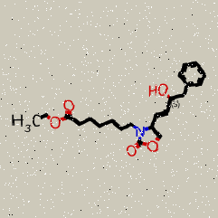 CCOC(=O)CCCCCCN1C(=O)OCC1C=C[C@@H](O)Cc1ccccc1